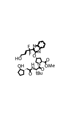 COC(=O)[C@@H]1C[C@@H](Oc2nc3ccccc3nc2C(F)(F)/C=C/CO)CN1C(=O)[C@@H](NC(=O)C[C@@H]1CCC[C@H]1O)C(C)(C)C